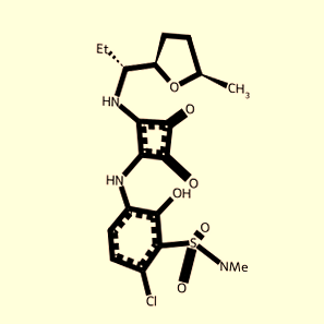 CC[C@@H](Nc1c(Nc2ccc(Cl)c(S(=O)(=O)NC)c2O)c(=O)c1=O)[C@H]1CC[C@@H](C)O1